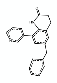 O=C1CCc2cc(Cc3ccccc3)cc(-c3cccnc3)c2N1